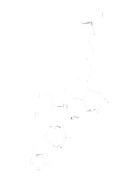 [2H]C(c1ccncc1OCCCCCC(=O)O)N(C(=O)c1ccc(-c2ccco2)cc1)C(C)C